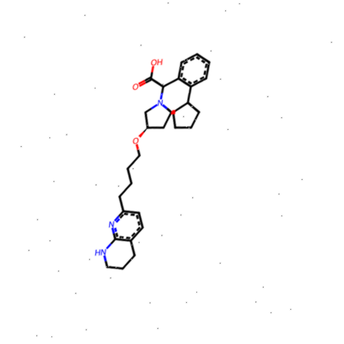 O=C(O)C(c1ccccc1C1CCCC1)N1CC[C@@H](OCCCCc2ccc3c(n2)NCCC3)C1